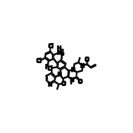 C=CC(=O)N1CC2C(=O)N(C)C3=C(c4cc(F)c(-c5c(N)c(Cl)cc(Cl)c5F)c(Cl)c4N4c5c(C)ccnc5C(C)OC34)N2CC1C